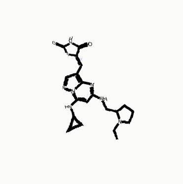 CCN1CCCC1CNc1cc(NC2CC2)n2ncc(/C=C3\SC(=O)NC3=O)c2n1